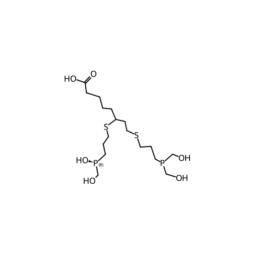 O=C(O)CCCCC(CCSCCCP(CO)CO)SCCC[P@](O)CO